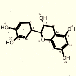 OC1=CCC([C@@H]2Oc3cc(O)cc(O)c3C[C@H]2O)C=C1O